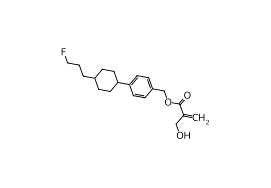 C=C(CO)C(=O)OCc1ccc(C2CCC(CCCF)CC2)cc1